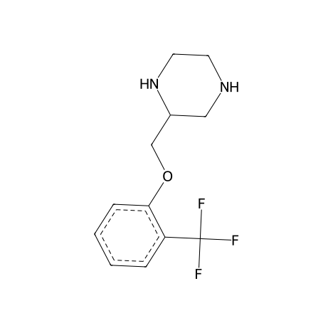 FC(F)(F)c1ccccc1OCC1CNCCN1